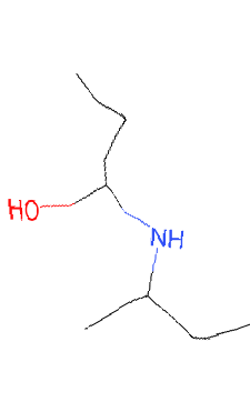 CCC(C)NC(O)CC